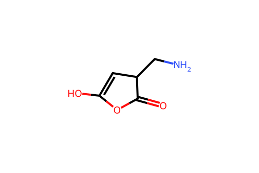 NCC1C=C(O)OC1=O